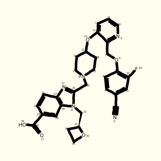 N#Cc1ccc(OCc2ncccc2OC2CCN(Cc3nc4ccc(C(=O)O)cc4n3C[C@@H]3CCO3)CC2)c(F)c1